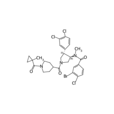 CN(C(=O)c1ccc(Cl)c(Br)c1)[C@H]1CN(C(=O)C2CCN(C(=O)C3(C)CC3)CC2)C[C@@H]1c1ccc(Cl)c(Cl)c1